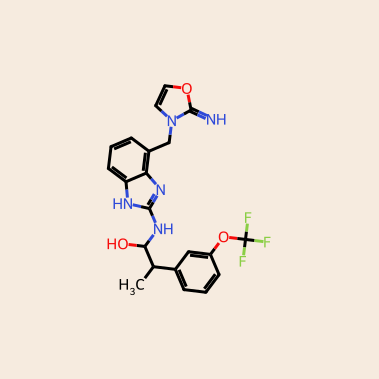 CC(c1cccc(OC(F)(F)F)c1)C(O)Nc1nc2c(Cn3ccoc3=N)cccc2[nH]1